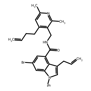 C=CCCc1cc(C)nc(C)c1CNC(=O)c1cc(Br)cc2c1c(CC=C)cn2C(C)C